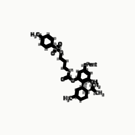 C=C(C)[C@@H]1CCC(C)=C[C@H]1c1c(O)cc(CCCCC)cc1OC(=O)SCCCOS(=O)(=O)c1ccc(C)cc1